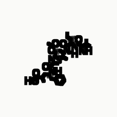 CC[C@H](C)[C@H](NC(=O)C(NC)C(C)C)C(=O)N(C)C(C[C@@H](OC(C)=O)c1nc(C(=O)N[C@@H](Cc2ccccc2)CC(C)C(=O)O)cs1)C(C)C